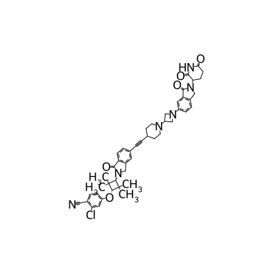 CC1(C)[C@H](Oc2ccc(C#N)c(Cl)c2)C(C)(C)[C@H]1N1Cc2cc(C#CC3CCN(C4CN(c5ccc6c(c5)C(=O)N(C5CCC(=O)NC5=O)C6)C4)CC3)ccc2C1=O